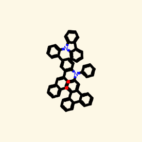 c1ccc(N(c2ccc3c4ccccc4c4ccccc4c3c2)c2ccc(-c3ccccc3-n3c4ccccc4c4ccccc43)cc2-c2ccc3ccccc3c2)cc1